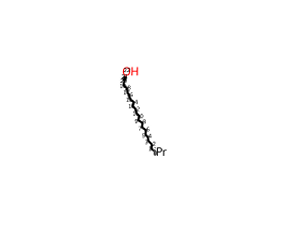 CC(C)CCCCCCCCCCCCCCCCCCCC#CO